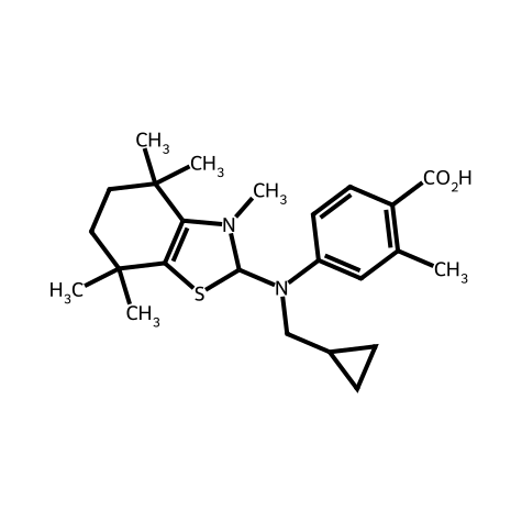 Cc1cc(N(CC2CC2)C2SC3=C(N2C)C(C)(C)CCC3(C)C)ccc1C(=O)O